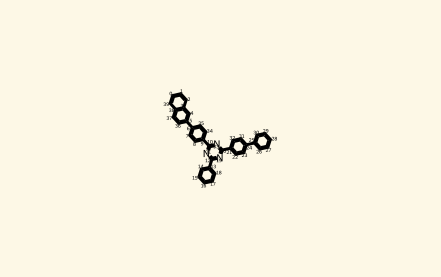 C1=C=Cc2cc(-c3ccc(-c4nc(-c5ccccc5)nc(-c5ccc(-c6ccccc6)cc5)n4)cc3)ccc2C=1